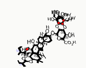 C/C=C(/C)C(=O)O[C@H]1[C@H](OC(=O)/C(C)=C\C)[C@]2(CO)[C@H](O)[C@H](O)[C@]3(C)C(=CC[C@@H]4[C@@]5(C)CC[C@H](O[C@@H]6O[C@H](C(=O)O)[C@@H](O)[C@H](O[C@@H]7O[C@@H](CO)[C@H](O)[C@H]7O)[C@H]6O[C@@H]6O[C@H](CO)[C@@H](O)[C@H](O)[C@H]6O)[C@](C)(O)[C@@H]5CC[C@]43C)[C@@H]2CC1(C)C